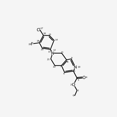 CCOC(=O)c1cc2c(cn1)CN(c1ccc(Cl)c(F)c1)CC2